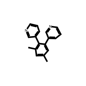 Cc1cc(C)c(-c2cccnc2)c(-c2cccnc2)c1